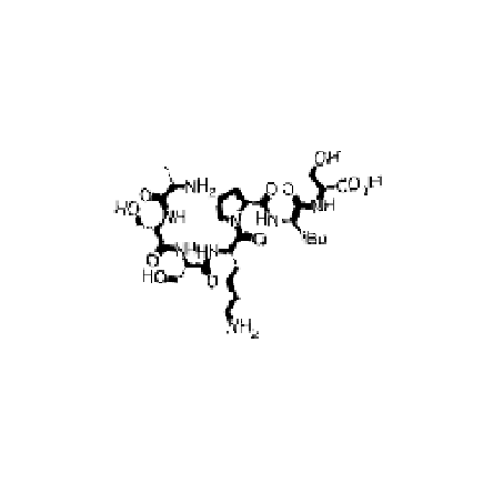 CC[C@H](C)[C@H](NC(=O)[C@@H]1CCCN1C(=O)[C@H](CCCCN)NC(=O)[C@H](CO)NC(=O)[C@H](CO)NC(=O)[C@H](C)N)C(=O)N[C@@H](CO)C(=O)O